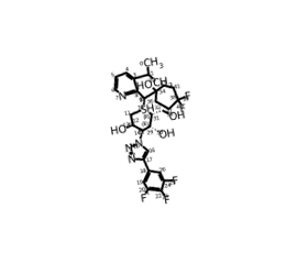 CC(C)c1cccnc1[C@H]([SH]1C[C@H](O)[C@H](n2cc(-c3cc(F)c(F)c(F)c3)nn2)[C@@H](O)[C@H]1CO)C1(O)CCC(F)(F)CC1